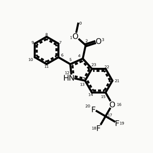 COC(=O)c1c(-c2ccccc2)[nH]c2cc(OC(F)(F)F)ccc12